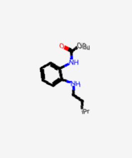 CC(C)CCNc1ccccc1NC(=O)OCC(C)C